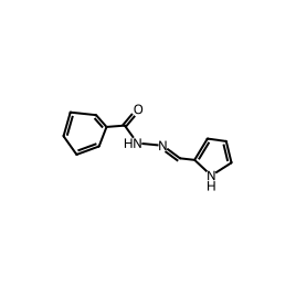 O=C(NN=Cc1ccc[nH]1)c1ccccc1